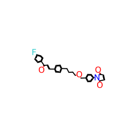 O=C(C=Cc1ccc(CCCCOCc2ccc(N3C(=O)C=CC3=O)cc2)cc1)c1ccc(F)cc1